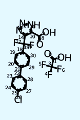 O=C(O)C(F)(F)F.O=C(O)c1[nH]nnc1C(F)(F)c1ccc(-c2ccc(Cl)cc2)cc1